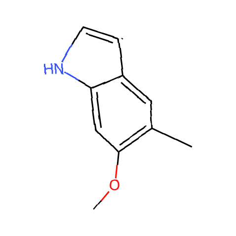 COc1cc2[nH]c[c]c2cc1C